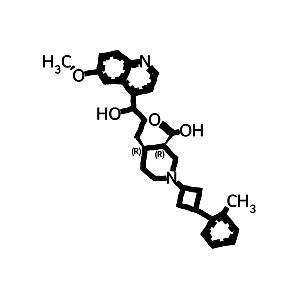 COc1ccc2nccc(C(O)CC[C@@H]3CCN(C4CC(c5ccccc5C)C4)C[C@@H]3C(=O)O)c2c1